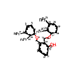 CCCc1cccc(OCc2cccc(O)c2COc2cccc(CCC)c2CCC)c1CCC